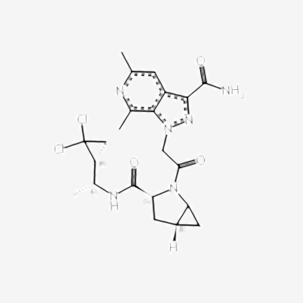 Cc1cc2c(C(N)=O)nn(CC(=O)N3C4C[C@@H]4C[C@H]3C(=O)N[C@H](C)[C@H]3CC3(Cl)Cl)c2c(C)n1